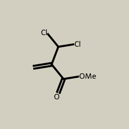 C=C(C(=O)OC)C(Cl)Cl